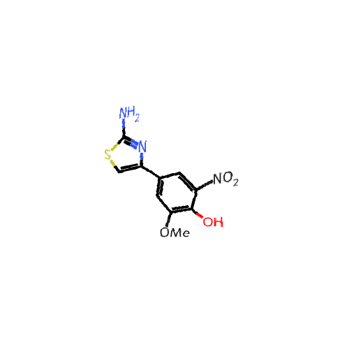 COc1cc(-c2csc(N)n2)cc([N+](=O)[O-])c1O